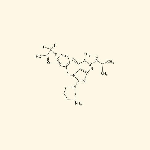 CC(C)Nc1nc2nc(N3CCCC(N)C3)n(Cc3ccccc3)c2c(=O)n1C.O=C(O)C(F)(F)F